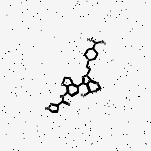 CN(C)C1CCN(CCn2nc(-c3ccc(NC(=O)c4cc[nH]n4)c4c3OCO4)c3c(N)ncnc32)CC1